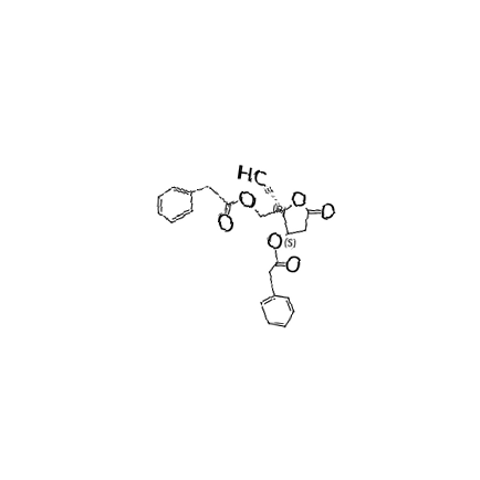 C#C[C@]1(COC(=O)Cc2ccccc2)OC(=O)C[C@@H]1OC(=O)Cc1ccccc1